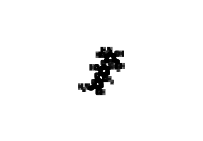 NCC1OC(OC2C(N)CC(N)C(OC3OC(CO)C(O)C(N)C3O)C2O)=CCC1O